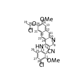 COc1cc(Nc2c(C#N)cnc3cc4cc(OC)c(OC(C)Cl)cc4cc23)c(C)cc1Cl